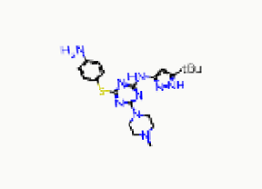 CN1CCN(c2nc(Nc3cc(C(C)(C)C)[nH]n3)nc(Sc3ccc(N)cc3)n2)CC1